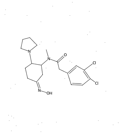 CN(C(=O)Cc1ccc(Cl)c(Cl)c1)C1CC(=NO)CCC1N1CCCC1